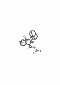 CNC(=O)N(C(=O)C1(c2ccccc2)CC1N=S(=O)=O)C12CC3CC(C1)C(OC)C(C3)C2